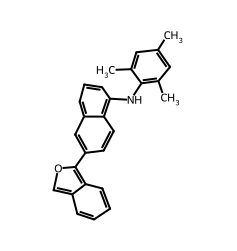 Cc1cc(C)c(Nc2cccc3cc(-c4occ5ccccc45)ccc23)c(C)c1